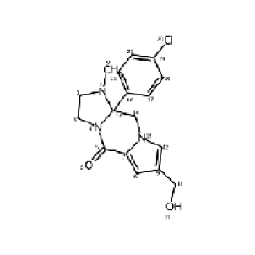 CN1CCN2C(=O)c3cc(CO)cn3CC12c1ccc(Cl)cc1